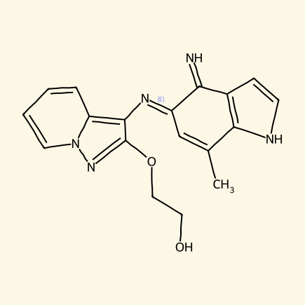 CC1=C/C(=N\c2c(OCCO)nn3ccccc23)C(=N)c2cc[nH]c21